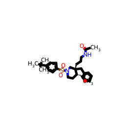 CC[C@@H]1CCN(S(=O)(=O)c2ccc(C(C)(C)C)cc2)C[C@]1(CCCNC(C)=O)Cc1ccccc1